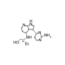 CC[C@H](CO)Nc1ccnc2[nH]cc(-c3ccnc(N)n3)c12